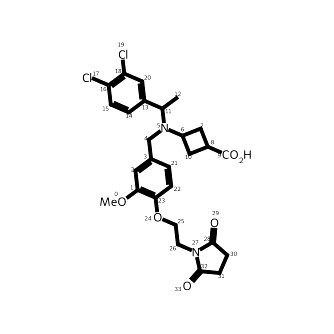 COc1cc(CN(C2CC(C(=O)O)C2)C(C)c2ccc(Cl)c(Cl)c2)ccc1OCCN1C(=O)CCC1=O